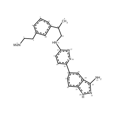 CNCCc1cccc(C(C)CNc2ccc(-c3ccc4[nH]nc(N)c4c3)nn2)c1